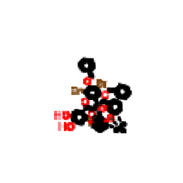 CC(C)(C)[Si](C)(C)OCCO[C@@]1(Cc2ccccc2)c2c(OCc3ccccc3)c(Br)c(OCc3ccccc3)c(Br)c2O[C@H](c2cc(O)c(O)cc2Br)[C@]1(Cc1ccccc1)O[Si](C)(C)C(C)(C)C